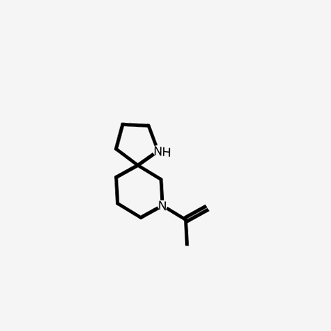 C=C(C)N1CCCC2(CCCN2)C1